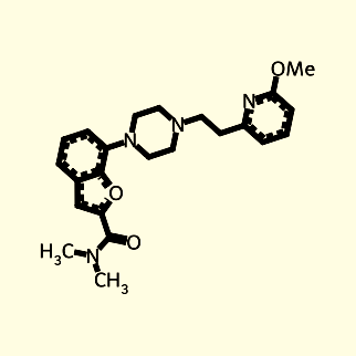 COc1cccc(CCN2CCN(c3cccc4cc(C(=O)N(C)C)oc34)CC2)n1